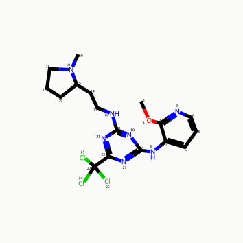 COc1ncccc1Nc1nc(NCCC2CCCN2C)nc(C(Cl)(Cl)Cl)n1